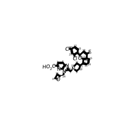 O=C(O)c1ccc2nc(CN3CCC(c4cccc5c4OC(c4ccc(Cl)cc4Cl)C=C5F)CC3)n(C[C@@H]3CCO3)c2n1